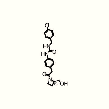 O=C(NCc1ccc(Cl)cc1)Nc1ccc(CC(=O)N2CC[C@@H]2CO)cc1